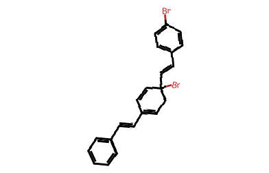 Brc1ccc(C=CC2(Br)C=CC(C=Cc3ccccc3)=CC2)cc1